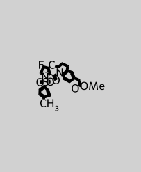 COC(=O)Cc1ccc2c(c1)CCC(C(F)(F)F)N2C(=O)[C@@H]1CCCN1S(=O)(=O)c1ccc(C)cc1